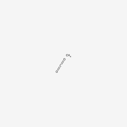 C.O=C=O